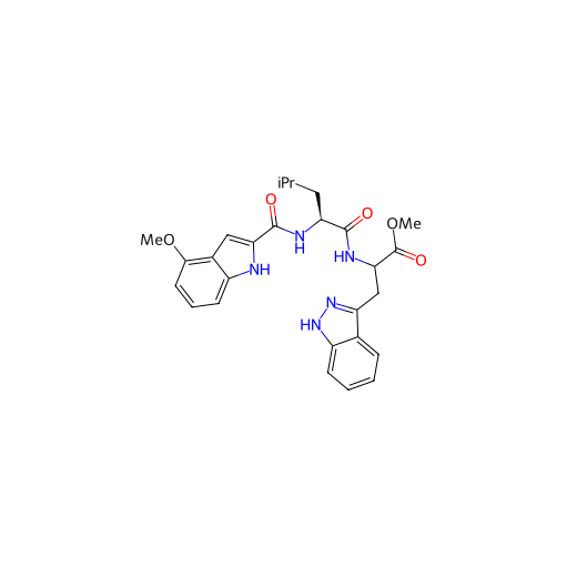 COC(=O)C(Cc1n[nH]c2ccccc12)NC(=O)[C@H](CC(C)C)NC(=O)c1cc2c(OC)cccc2[nH]1